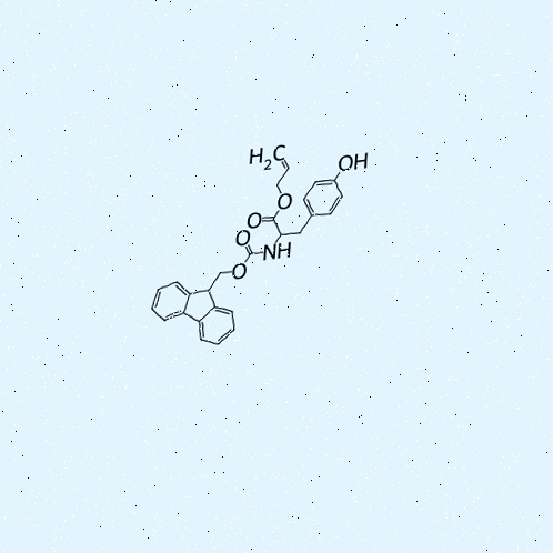 C=CCOC(=O)C(Cc1ccc(O)cc1)NC(=O)OCC1c2ccccc2-c2ccccc21